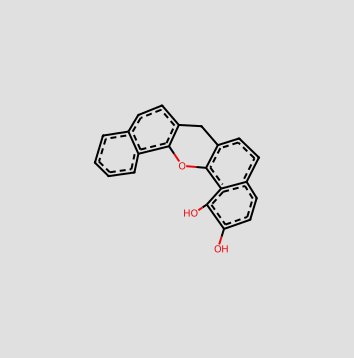 Oc1ccc2ccc3c(c2c1O)Oc1c(ccc2ccccc12)C3